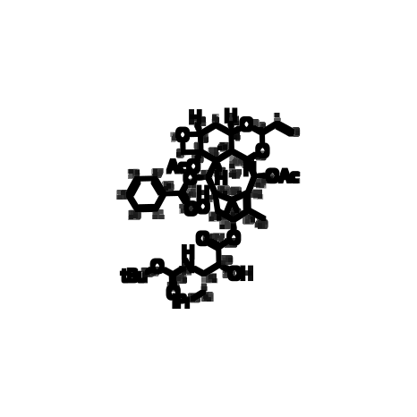 C=CC1O[C@H]2C[C@H]3OC[C@@]3(OC(C)=O)[C@H]3[C@H](OC(=O)c4ccccc4)[C@]4(O)C[C@H](OC(=O)[C@@H](O)[C@H](CC(C)C)NC(=O)OC(C)(C)C)C(C)=C([C@H](OC(C)=O)[C@H](O1)[C@]23C)C4(C)C